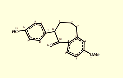 COc1ccc2c(c1)CCCC(c1ccc(C#N)cc1)C2=O